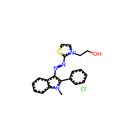 Cn1c(-c2ccccc2)c(N=Nc2scc[n+]2CCO)c2ccccc21.[Cl-]